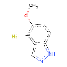 COc1ccc2[nH]ncc2c1S